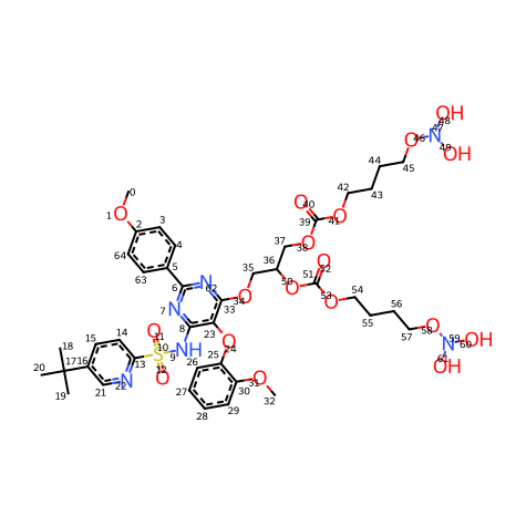 COc1ccc(-c2nc(NS(=O)(=O)c3ccc(C(C)(C)C)cn3)c(Oc3ccccc3OC)c(OCC(COC(=O)OCCCCON(O)O)OC(=O)OCCCCON(O)O)n2)cc1